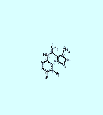 C=C(Nc1ccc(F)c(Br)c1)c1nonc1C